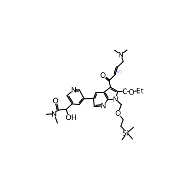 CCOCc1c(C(=O)/C=C/CN(C)C)c2cc(-c3cncc(C(O)C(=O)N(C)C)c3)cnc2n1COCC[Si](C)(C)C